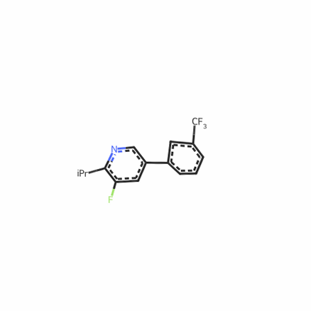 CC(C)c1ncc(-c2cccc(C(F)(F)F)c2)cc1F